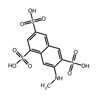 CNc1cc2c(S(=O)(=O)O)cc(S(=O)(=O)O)cc2cc1S(=O)(=O)O